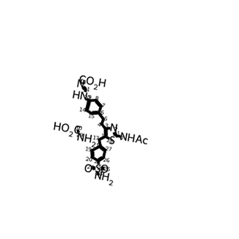 CC(=O)Nc1nc(CCc2ccc(NC=NC(=O)O)cc2)c(Cc2ccc(S(N)(=O)=O)cc2)s1.NC(=O)O